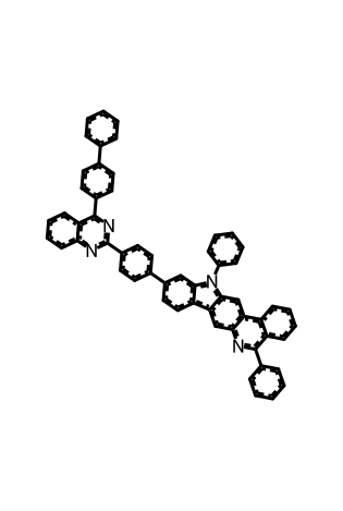 c1ccc(-c2ccc(-c3nc(-c4ccc(-c5ccc6c7cc8nc(-c9ccccc9)c9ccccc9c8cc7n(-c7ccccc7)c6c5)cc4)nc4ccccc34)cc2)cc1